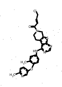 Cc1ccc(Oc2ccc(Nc3ncnc4sc5c(c34)CCN(C(=O)/C=C/CCl)C5)cc2C)cn1